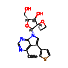 COc1ncnc2c1c(-c1ccsc1)cn2[C@@H]1O[C@H](CO)[C@@H](O)[C@]12CCO2